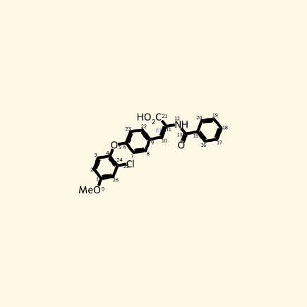 COc1ccc(Oc2ccc(/C=C(/NC(=O)c3ccccc3)C(=O)O)cc2)c(Cl)c1